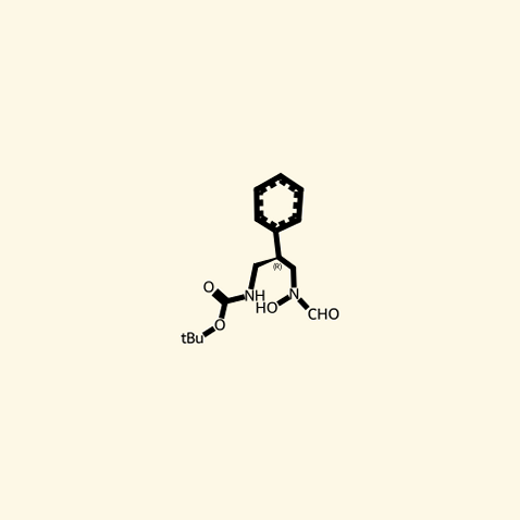 CC(C)(C)OC(=O)NC[C@H](CN(O)C=O)c1ccccc1